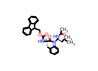 CC(=O)N[C@@H](CC(C)C)NC(=O)[C@H](Cc1ccccc1)NC(=O)OCC1c2ccccc2-c2ccccc21